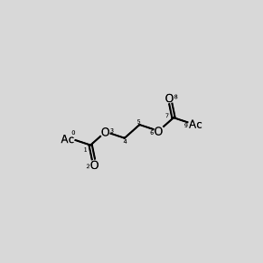 CC(=O)C(=O)OCCOC(=O)C(C)=O